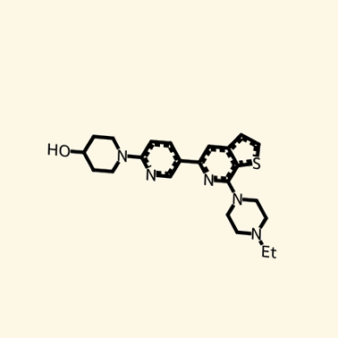 CCN1CCN(c2nc(-c3ccc(N4CCC(O)CC4)nc3)cc3ccsc23)CC1